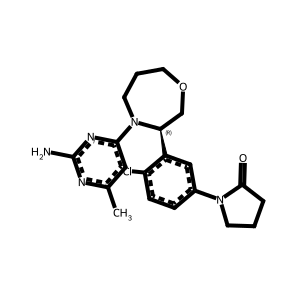 Cc1cc(N2CCCOC[C@H]2c2cc(N3CCCC3=O)ccc2Cl)nc(N)n1